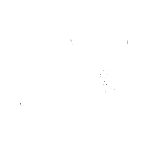 CCCCCCCCCCCCCCCCCCCCCCC(=Nc1cccc(CCCCCCCCCCC)c1)C(CCCC)=Nc1cccc(CCCCCCCCCCC)c1.[Ni]